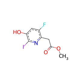 COC(=O)Cc1nc(I)c(O)cc1F